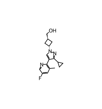 Cc1cc(F)cnc1-c1cn([C@H]2C[C@H](CO)C2)nc1C1CC1